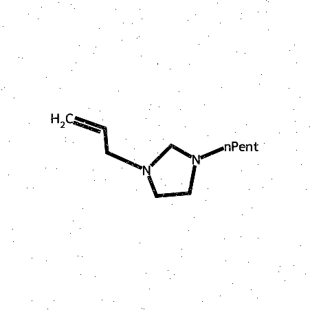 C=CCN1CCN(CCCCC)C1